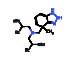 CCCCC(CC)CN(CC(CC)CCCC)CC1(C)C=CC=C2NNN=C21